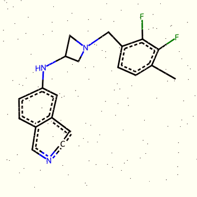 Cc1ccc(CN2CC(Nc3ccc4cnccc4c3)C2)c(F)c1F